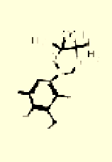 CCc1c(F)c(F)cc(B2COC(C)(C)C(C)(C)O2)c1F